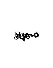 NC(=O)N(O)CC1CC1c1ccc(C=Cc2ccccc2)o1